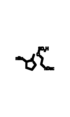 CCCCC1CCCN1C.CCCCCCCCCCCCOS(=O)(=O)O